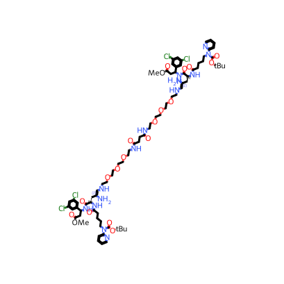 COC(=O)CC(NC(=O)[C@H](C/C(N)=C/NCCOCCOCCOCCNC(=O)CCC(=O)NCCOCCOCCOCCN/C=C(\N)C[C@H](NC(=O)CCCCN(C(=O)OC(C)(C)C)c1ccccn1)C(=O)NC(CC(=O)OC)c1cc(Cl)cc(Cl)c1)NC(=O)CCCCN(C(=O)OC(C)(C)C)c1ccccn1)c1cc(Cl)cc(Cl)c1